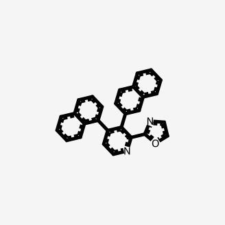 c1ccc2cc(-c3c(-c4cccc5ccccc45)ccnc3-c3ncco3)ccc2c1